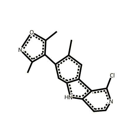 Cc1cc2c(cc1-c1c(C)noc1C)[nH]c1ccnc(Cl)c12